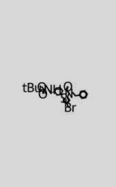 CC(C)(C)OC(=O)NC[C@H]1CC[C@H](C(=O)N(CCc2ccccc2)c2cc(Br)cs2)CC1